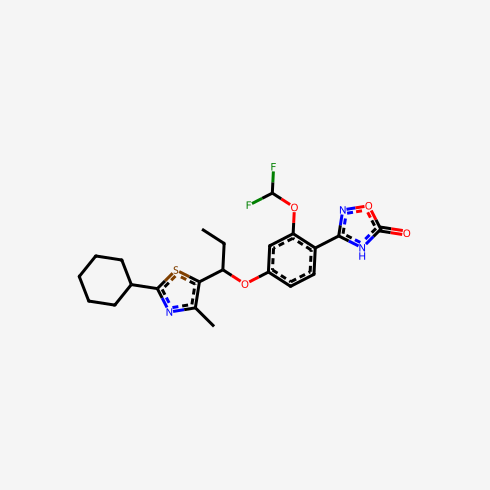 CCC(Oc1ccc(-c2noc(=O)[nH]2)c(OC(F)F)c1)c1sc(C2CCCCC2)nc1C